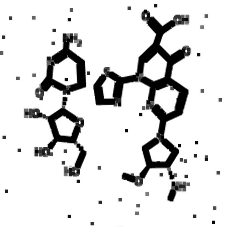 CN[C@H]1CN(c2ccc3c(=O)c(C(=O)O)cn(-c4nccs4)c3n2)C[C@@H]1OC.Nc1ccn([C@@H]2O[C@H](CO)[C@@H](O)[C@@H]2O)c(=O)n1